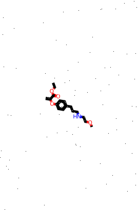 C=C(Oc1ccc(CCCNCCOC)cc1)C(=O)OCC